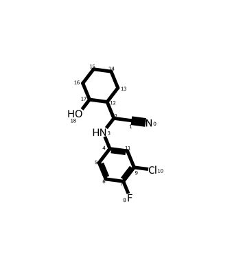 N#CC(Nc1ccc(F)c(Cl)c1)C1CCCCC1O